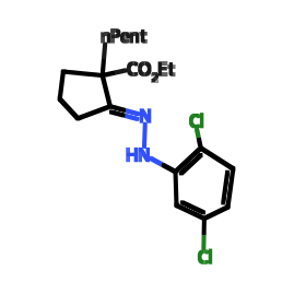 CCCCCC1(C(=O)OCC)CCCC1=NNc1cc(Cl)ccc1Cl